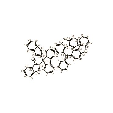 c1cc(-c2cccc3c2-c2ccccc2C32c3ccc4ccccc4c3Oc3c2ccc2ccccc32)cc(N(c2ccc3oc4ccccc4c3c2)c2cccc3sc4ccccc4c23)c1